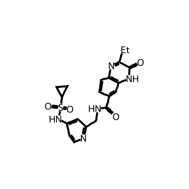 CCc1nc2ccc(C(=O)NCc3cc(NS(=O)(=O)C4CC4)ccn3)cc2[nH]c1=O